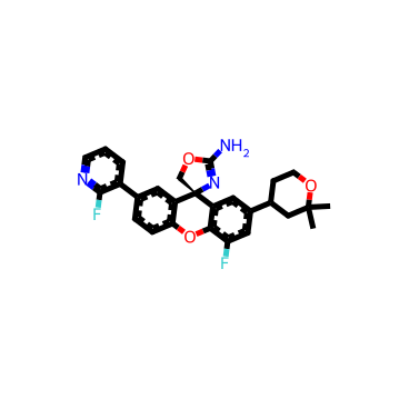 CC1(C)CC(c2cc(F)c3c(c2)[C@]2(COC(N)=N2)c2cc(-c4cccnc4F)ccc2O3)CCO1